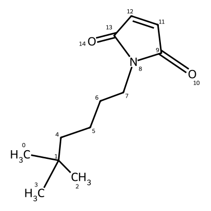 CC(C)(C)CCCCN1C(=O)C=CC1=O